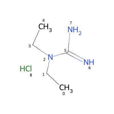 CCN(CC)C(=N)N.Cl